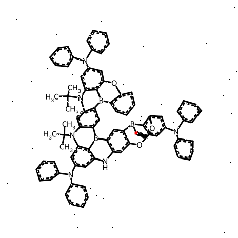 CC(C)(C)N1c2cc3c(cc2B2c4cc5c(cc4Nc4cc(N(c6ccccc6)c6ccccc6)cc1c42)Oc1cc(N(c2ccccc2)c2ccccc2)cc2c1B5c1ccccc1O2)B1c2ccccc2Oc2cc(N(c4ccccc4)c4ccccc4)cc(c21)N3C(C)(C)C